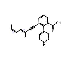 C/C=C\C=C(/C)C#Cc1cccc(C(=O)O)c1C1=CCNCC1